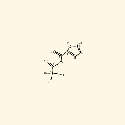 O=C(OC(=O)C(F)(F)F)c1ccno1